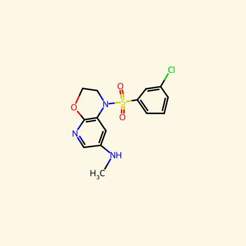 CNc1cnc2c(c1)N(S(=O)(=O)c1cccc(Cl)c1)CCO2